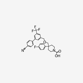 N#Cc1ccc(-c2cc(COCC3(c4ccc(F)cc4)CCN(C(=O)O)CC3)cc(C(F)(F)F)c2)cc1